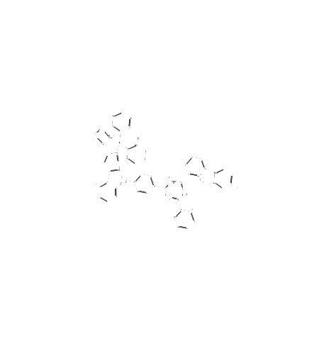 C1=CC2=C(CC1)Oc1ccccc1C21c2ccccc2-c2cc3c4ccccc4n(-c4ccc(-c5nc(-c6ccccc6)nc(-c6cccc7c6oc6ccccc67)n5)cc4)c3cc21